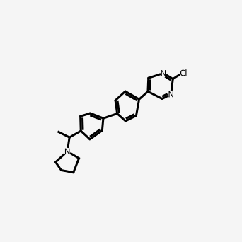 CC(c1ccc(-c2ccc(-c3cnc(Cl)nc3)cc2)cc1)N1CCCC1